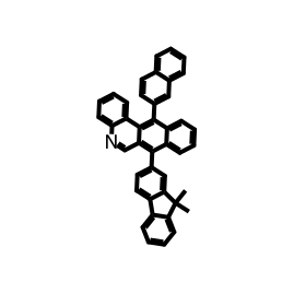 CC1(C)c2ccccc2-c2ccc(-c3c4ccccc4c(-c4ccc5ccccc5c4)c4c3cnc3ccccc34)cc21